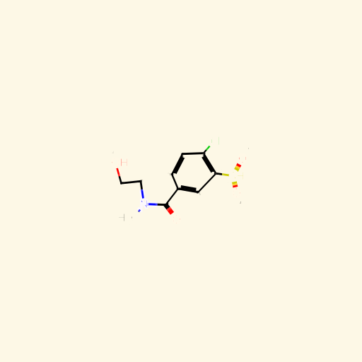 CN(CCO)C(=O)c1ccc(Cl)c([SH](=O)=O)c1